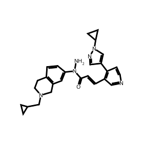 NN(C(=O)/C=C/c1cnccc1-c1cnn(C2CC2)c1)c1ccc2c(c1)CN(CC1CC1)CC2